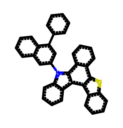 c1ccc(-c2cc(-n3c4ccccc4c4c5c6ccccc6sc5c5ccccc5c43)cc3ccccc23)cc1